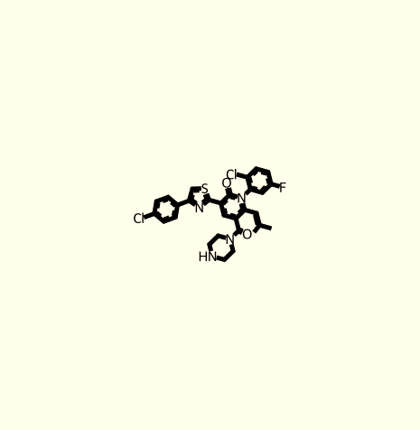 CC(C)=Cc1c(C(=O)N2CCNCC2)cc(-c2nc(-c3ccc(Cl)cc3)cs2)c(=O)n1-c1cc(F)ccc1Cl